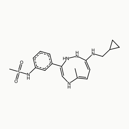 C/C1=C\C=C(\NCC2CC2)NN/C(c2cccc(NS(C)(=O)=O)c2)=C\N1